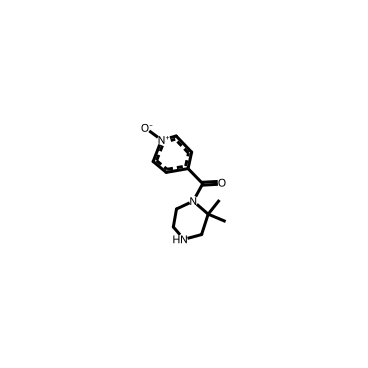 CC1(C)CNCCN1C(=O)c1cc[n+]([O-])cc1